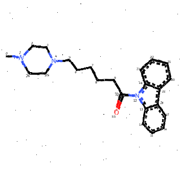 CN1CCN(CCCCCC(=O)n2c3ccccc3c3ccccc32)CC1